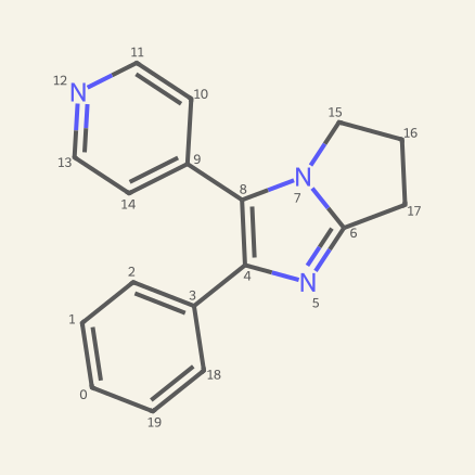 c1ccc(-c2nc3n(c2-c2ccncc2)CCC3)cc1